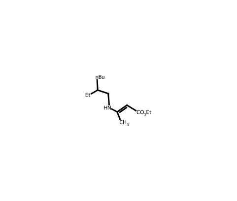 CCCCC(CC)CNC(C)=CC(=O)OCC